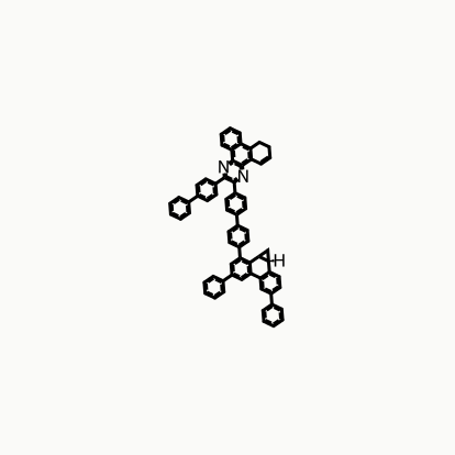 C1=Cc2c(c3ccccc3c3nc(-c4ccc(-c5ccccc5)cc4)c(-c4ccc(-c5ccc(-c6cc(-c7ccccc7)cc7c6C6C[C@@H]6c6ccc(-c8ccccc8)cc6-7)cc5)cc4)nc23)CC1